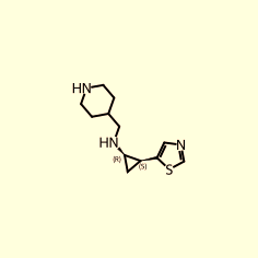 c1ncc([C@H]2C[C@H]2NCC2CCNCC2)s1